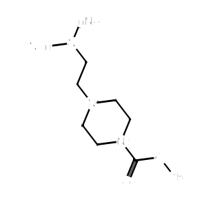 CCCCCCCCCN(CCCCCCCCC)CCN1CCN(C(=O)OC(C)(C)C)CC1